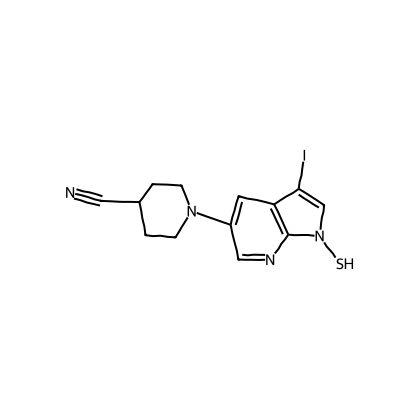 N#CC1CCN(c2cnc3c(c2)c(I)cn3S)CC1